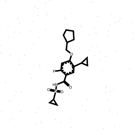 O=C(NS(=O)(=O)C1CC1)c1cc(C2CC2)c(OCC2CCCC2)cc1F